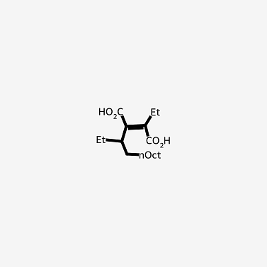 CCCCCCCCCC(CC)C(C(=O)O)=C(CC)C(=O)O